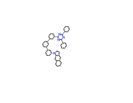 c1ccc(-c2nc(-c3ccccc3)nc(-c3cccc(-c4cccc(-c5cccc(-n6ccc7cc8ccccc8cc76)c5)c4)c3)n2)cc1